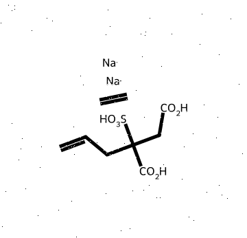 C=C.C=CCC(CC(=O)O)(C(=O)O)S(=O)(=O)O.[Na].[Na]